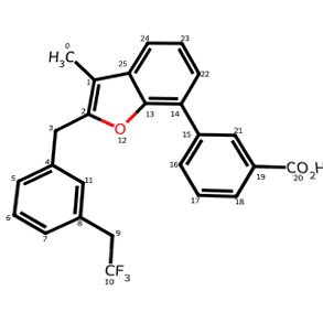 Cc1c(Cc2cccc(CC(F)(F)F)c2)oc2c(-c3cccc(C(=O)O)c3)cccc12